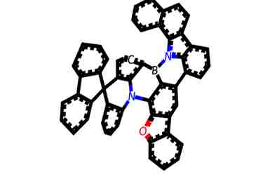 c1ccc2c(c1)-c1ccccc1C21c2ccccc2N2c3c(cccc31)B1c3c(cc4c(oc5ccccc54)c32)-c2cccc3c4ccc5ccccc5c4n1c23